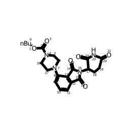 CCCCOC(=O)N1CCN(c2cccc3c2C(=O)N(C2CCC(=O)NC2=O)C3=O)CC1